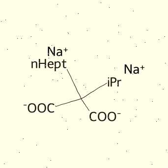 CCCCCCCC(C(=O)[O-])(C(=O)[O-])C(C)C.[Na+].[Na+]